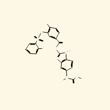 CCCn1c(NC(=O)c2ccc(F)c(NS(=O)(=O)c3ccccc3C(F)(F)F)c2)nc2cc(N(C)C(=O)OC(C)(C)C)ccc21